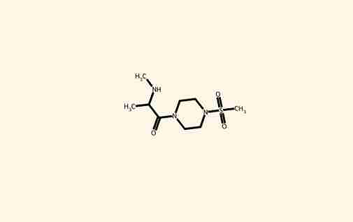 CNC(C)C(=O)N1CCN(S(C)(=O)=O)CC1